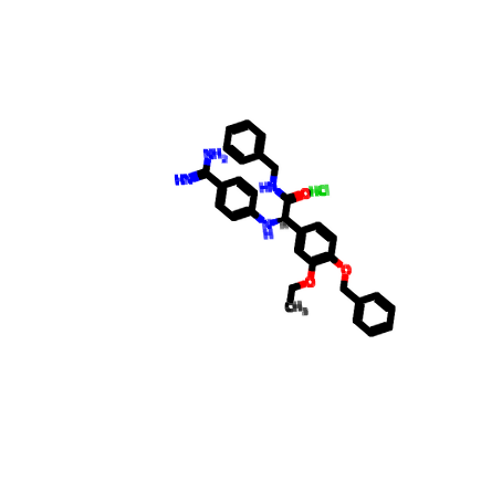 CCOc1cc([C@@H](Nc2ccc(C(=N)N)cc2)C(=O)NCc2ccccc2)ccc1OCc1ccccc1.Cl